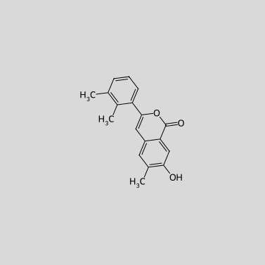 Cc1cc2cc(-c3cccc(C)c3C)oc(=O)c2cc1O